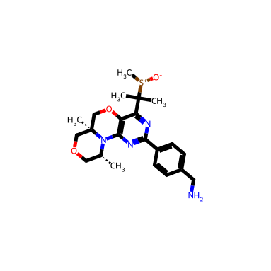 C[C@@H]1COC[C@@]2(C)COc3c(nc(-c4ccc(CN)cc4)nc3C(C)(C)[S+](C)[O-])N12